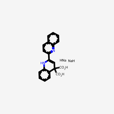 O=C(O)C1(C(=O)O)C=C(c2ccc3ccccc3n2)Nc2ccccc21.[NaH].[NaH]